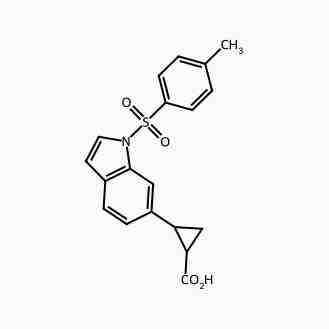 Cc1ccc(S(=O)(=O)n2ccc3ccc(C4CC4C(=O)O)cc32)cc1